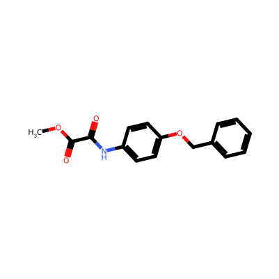 COC(=O)C(=O)Nc1ccc(OCc2ccccc2)cc1